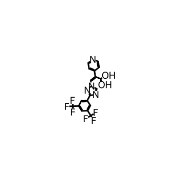 OC(O)C(=Cn1cnc(-c2cc(C(F)(F)F)cc(C(F)(F)F)c2)n1)c1ccncc1